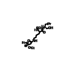 CCOP(=O)(CC(=O)NCCCCC(NC(=O)O)C(=O)N[C@H](CO)CC(C)C)OCC